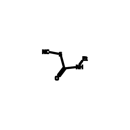 CCNC(=O)SC#N